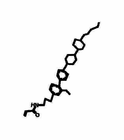 C=CC(=O)NCCCc1ccc(-c2ccc(C3CCC(C4CCC(CCCCC)CC4)CC3)cc2)c(CC)c1